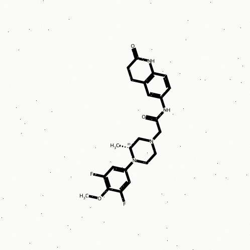 COc1c(F)cc(N2CCN(CC(=O)Nc3ccc4c(c3)CCC(=O)N4)C[C@H]2C)cc1F